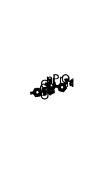 CCCn1cc(-c2cccc(C(=O)N(C)C)c2)c2ccn(S(=O)(=O)c3ccc(C)cc3)c2c1=O